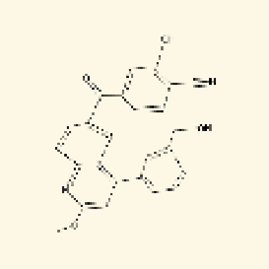 COc1cc(-c2cccc(CO)c2)c2cc(C(=O)c3ccc(C#N)c(O)c3)ccc2n1